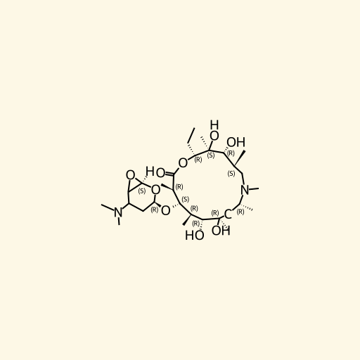 CC[C@H]1OC(=O)[C@H](C)[C@@H](O[C@H]2CC(N(C)C)C3O[C@H]3O2)[C@H](C)[C@@H](O)[C@](C)(O)C[C@@H](C)N(C)C[C@H](C)[C@@H](O)[C@]1(C)O